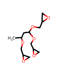 CC(CC(OCC1CO1)OCC1CO1)OCC1CO1